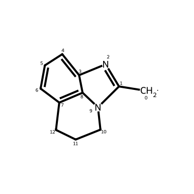 [CH2]c1nc2cccc3c2n1CCC3